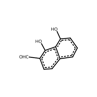 O=Cc1ccc2cccc(O)c2c1O